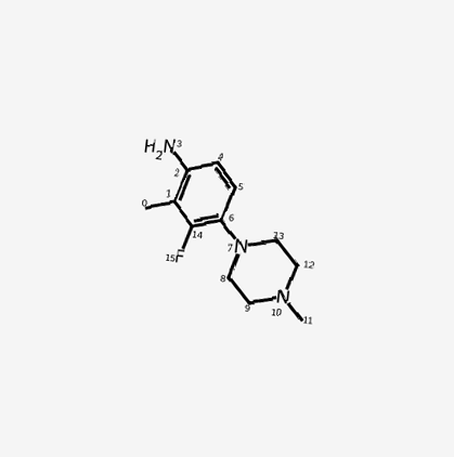 Cc1c(N)ccc(N2CCN(C)CC2)c1F